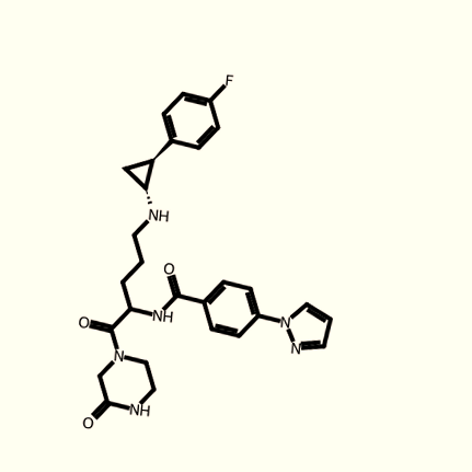 O=C1CN(C(=O)C(CCCN[C@@H]2C[C@H]2c2ccc(F)cc2)NC(=O)c2ccc(-n3cccn3)cc2)CCN1